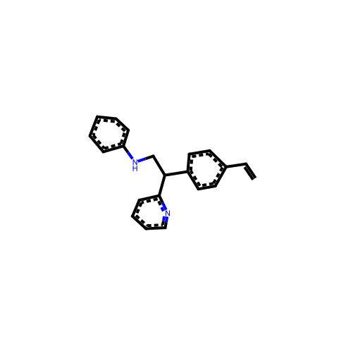 C=Cc1ccc(C(CNc2ccccc2)c2ccccn2)cc1